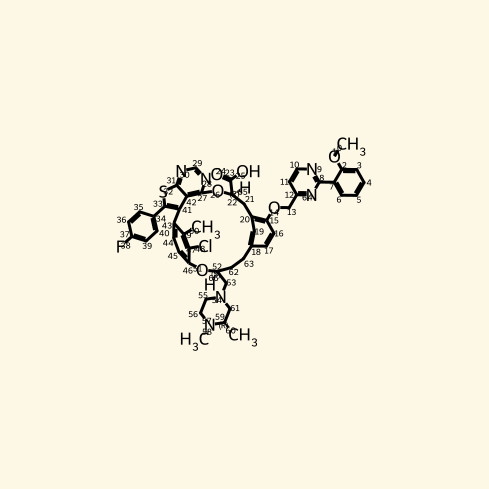 COc1ccccc1-c1nccc(COc2ccc3cc2C[C@H](C(=O)O)Oc2ncnc4sc(-c5ccc(F)cc5)c(c24)-c2ccc(c(Cl)c2C)O[C@H](CN2CCN(C)[C@H](C)C2)CC3)n1